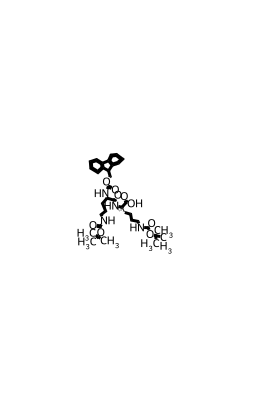 CC(C)(C)OC(=O)NCCCC[C@H](NC(=O)C(CCCNC(=O)OC(C)(C)C)NC(=O)OCC1c2ccccc2-c2ccccc21)C(=O)O